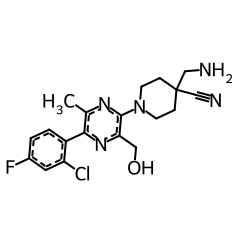 Cc1nc(N2CCC(C#N)(CN)CC2)c(CO)nc1-c1ccc(F)cc1Cl